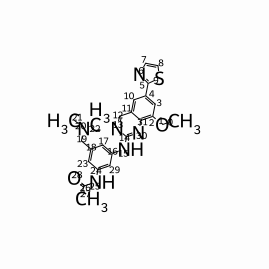 COc1cc(-c2nccs2)cc2cnc(Nc3cc(CN(C)C)cc(NC(C)=O)c3)nc12